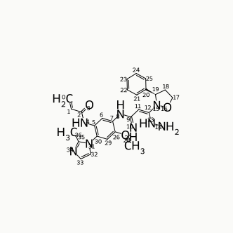 C=CC(=O)Nc1cc(NC(=N)/C=C(\NN)N2OCC[C@@H]2c2ccccc2)c(OC)cc1-n1ccnc1C